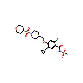 CS(=O)(=O)NC(=O)c1cc(C2CC2)c(OCC2CCN(S(=O)(=O)C3CCOCC3)CC2)cc1F